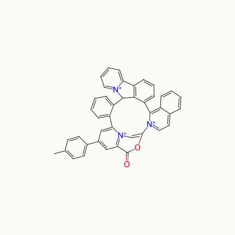 Cc1ccc(-c2cc3[n+]4cc(oc(=O)c4c2)-[n+]2ccc4ccccc4c2-c2cccc4c2C(c2ccccc2-3)[n+]2ccccc2-4)cc1